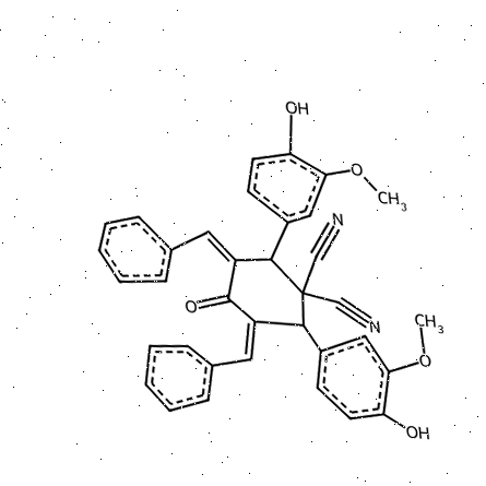 COc1cc(C2C(=Cc3ccccc3)C(=O)C(=Cc3ccccc3)C(c3ccc(O)c(OC)c3)C2(C#N)C#N)ccc1O